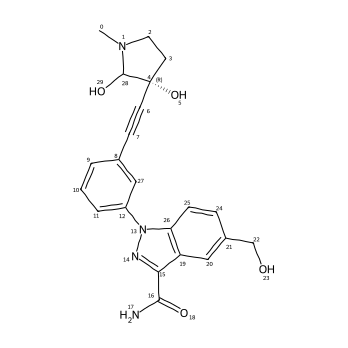 CN1CC[C@@](O)(C#Cc2cccc(-n3nc(C(N)=O)c4cc(CO)ccc43)c2)C1O